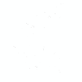 CC(C)(C)OC(=O)N1CCC(n2cc(-c3cncc(-c4ccnc(-c5cc(F)ccc5F)c4)c3)cn2)CC1